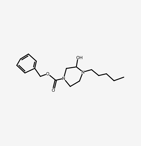 CCCCCN1CCN(C(=O)OCc2ccccc2)CC1O